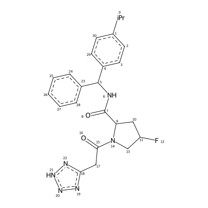 CC(C)c1ccc(C(NC(=O)C2CC(F)CN2C(=O)Cc2nn[nH]n2)c2ccccc2)cc1